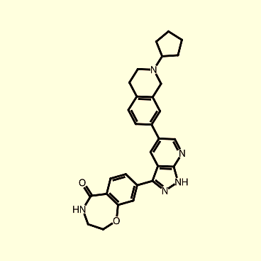 O=C1NCCOc2cc(-c3n[nH]c4ncc(-c5ccc6c(c5)CN(C5CCCC5)CC6)cc34)ccc21